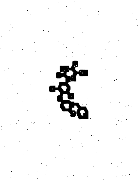 N#Cc1nn(-c2cc(Cl)c(Oc3ccc(=O)n(Cc4ccncc4)c3)c(Cl)c2)c(=O)[nH]c1=O